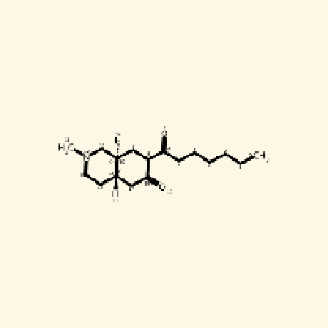 CCCCCCC(=O)C1C[C@@H]2CN(C)CC[C@H]2CC1=O